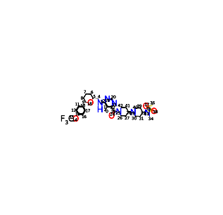 Cc1c(NC[C@H]2CCC[C@@H](c3ccc(OC(F)(F)F)cc3)O2)ncnc1C(=O)N1CCC(N2CCC(N(C)S(C)(=O)=O)CC2)CC1